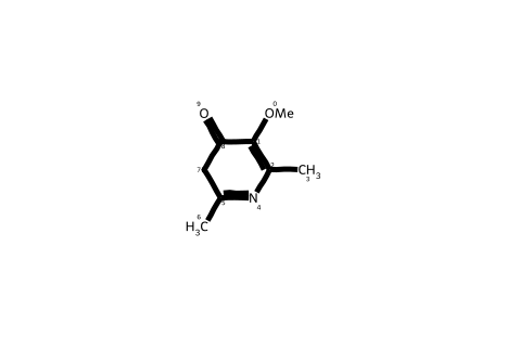 COC1=C(C)N=C(C)CC1=O